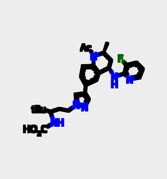 CC(=O)N1c2ccc(-c3cnn(CCC(NC(=O)O)C(C)(C)C)c3)cc2[C@H](Nc2ncccc2F)C[C@@H]1C